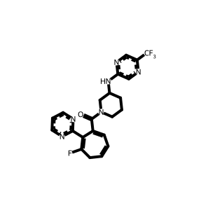 O=C(C1=CC=CCC(F)=C1c1ncccn1)N1CCCC(Nc2cnc(C(F)(F)F)cn2)C1